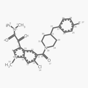 CC(C)N(C)C(=O)C(=O)c1cn(C)c2cc(Cl)c(C(=O)N3CCC(Cc4ccc(F)cc4)CC3)cc12